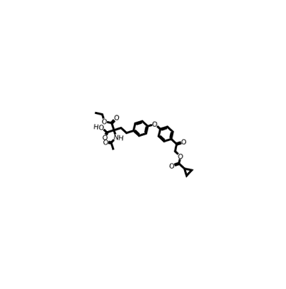 CCOC(=O)C(CCc1ccc(Oc2ccc(C(=O)COC(=O)C3CC3)cc2)cc1)(NC(C)=O)C(=O)O